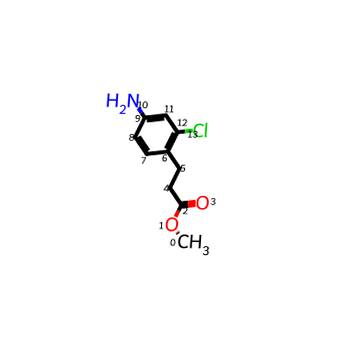 COC(=O)CCc1ccc(N)cc1Cl